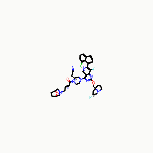 N#CC[C@H]1CN(c2nc(OC[C@@]34CCCN3C[C@H](F)C4)nc3c(F)c(-c4cccc5cccc(Cl)c45)ncc23)CCN1C(=O)/C=C/CN1CC2CCC(C1)O2